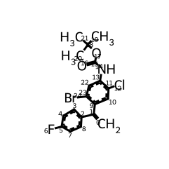 C=C(c1ccc(F)cc1)c1cc(Cl)c(NC(=O)OC(C)(C)C)cc1Br